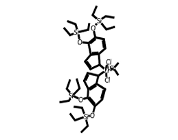 CC[Si](CC)(CC)Oc1ccc2c(c1O[Si](CC)(CC)CC)C=C[CH]2[Zr]([Cl])([Cl])([CH]1C=Cc2c1ccc(O[Si](CC)(CC)CC)c2O[Si](CC)(CC)CC)[SiH](C)C